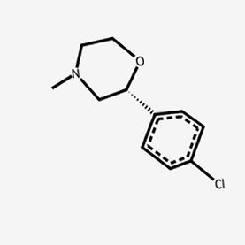 CN1CCO[C@H](c2ccc(Cl)cc2)C1